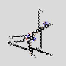 CCCCCCCCCCCCc1c2cc(-c3ccc(-c4c5c(c(-c6ccc(-c7cc8c(CCCCCCCCCCCC)c9sc(-c%10ccc(C)c%11nsnc%10%11)cc9c(CCCCCCCCCCCC)c8s7)s6)c6nsnc46)C(=O)N(CC(CCCCCCCC)CCCCCCCCCC)C5=O)s3)sc2c(CCCCCCCCCCCC)c2cc(C)sc12